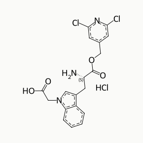 Cl.N[C@@H](Cc1cn(CC(=O)O)c2ccccc12)C(=O)OCc1cc(Cl)nc(Cl)c1